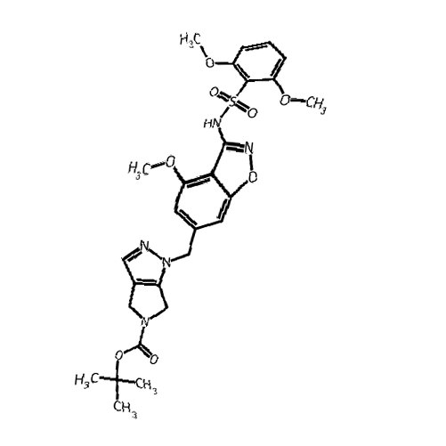 COc1cccc(OC)c1S(=O)(=O)Nc1noc2cc(Cn3ncc4c3CN(C(=O)OC(C)(C)C)C4)cc(OC)c12